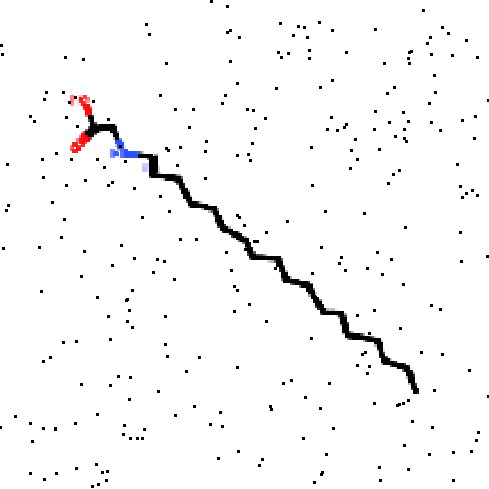 CCCCCCCCCCCCCCCC/C=C/NCC(=O)O